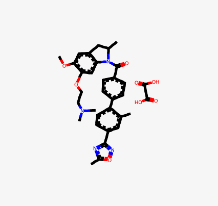 COc1cc2c(cc1OCCN(C)C)N(C(=O)c1ccc(-c3ccc(-c4noc(C)n4)cc3C)cc1)C(C)C2.O=C(O)C(=O)O